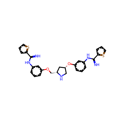 N=C(Nc1cccc(OC[C@@H]2C[C@H](Oc3cccc(NC(=N)c4cccs4)c3)CN2)c1)c1cccs1